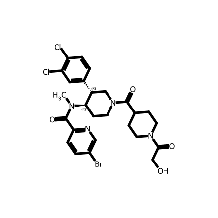 CN(C(=O)c1ccc(Br)cn1)[C@@H]1CCN(C(=O)C2CCN(C(=O)CO)CC2)C[C@H]1c1ccc(Cl)c(Cl)c1